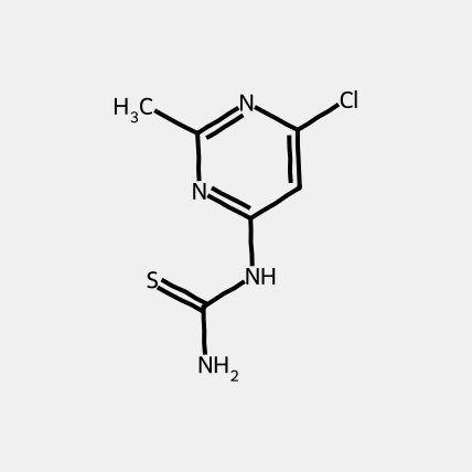 Cc1nc(Cl)cc(NC(N)=S)n1